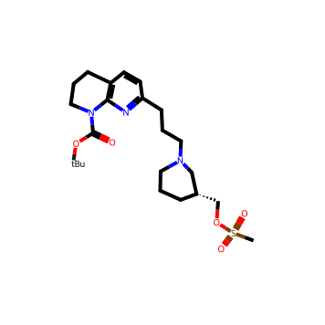 CC(C)(C)OC(=O)N1CCCc2ccc(CCCN3CCC[C@@H](COS(C)(=O)=O)C3)nc21